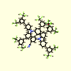 N#Cc1ccc(-c2ccc(-c3cc(C(F)(F)F)cc(C(F)(F)F)c3)cc2-n2c3ccc(-c4cc(C(F)(F)F)cc(C(F)(F)F)c4)cc3c3cc(-c4cc(C(F)(F)F)cc(C(F)(F)F)c4)ccc32)c(-n2c3ccc(-c4cc(C(F)(F)F)cc(C(F)(F)F)c4)cc3c3cc(-c4cc(C(F)(F)F)cc(C(F)(F)F)c4)ccc32)c1